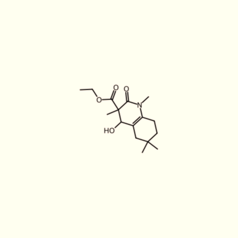 CCOC(=O)C1(C)C(=O)N(C)C2=C(CC(C)(C)CC2)C1O